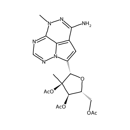 CC(=O)OC[C@H]1O[C@@H](c2cc3c4c(ncnn24)N(C)N=C3N)[C@](C)(OC(C)=O)[C@@H]1OC(C)=O